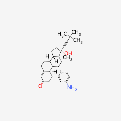 CC(C)(C)C#C[C@]1(O)CC[C@H]2[C@@H]3CCC4=CC(=O)CC[C@@H]4C3[C@@H](c3ccc(N)cc3)C[C@@]21C